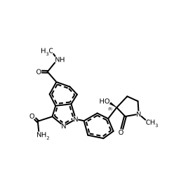 CNC(=O)c1ccc2c(c1)c(C(N)=O)nn2-c1cccc([C@]2(O)CCN(C)C2=O)c1